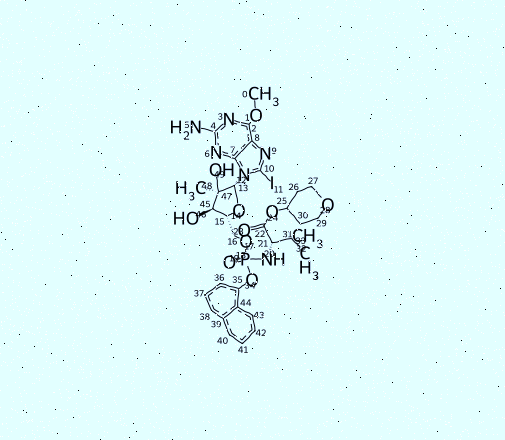 COc1nc(N)nc2c1nc(I)n2[C@@H]1O[C@H](COP(=O)(N[C@H](C(=O)OC2CCOCC2)C(C)C)Oc2cccc3ccccc23)[C@@H](O)[C@@]1(C)O